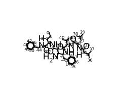 CC[C@H](C)[C@H](NC(=O)C[C@H](N)[C@H](Cc1ccccc1)NC(=O)[C@@H](NC(=O)[C@H](CC(C)C)NC(=O)CC(C)C)C(C)C)C(=O)NCc1ccccc1